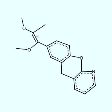 CO/C(C)=C(\OC)c1ccc2c(c1)Cc1cccnc1O2